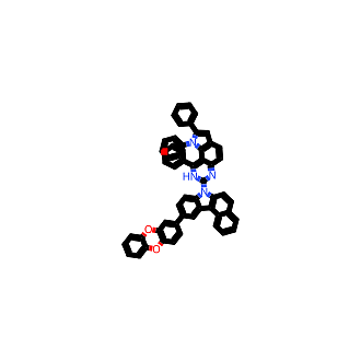 c1ccc(C2=c3c(ccc4cc(-c5ccccc5)n(-c5ccccc5)c34)=NC(n3c4ccc(-c5ccc6c(c5)Oc5ccccc5O6)cc4c4c5ccccc5ccc43)N2)cc1